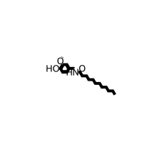 CCCCCCCCCCCC(=O)NCc1ccc(O)c(OC)c1